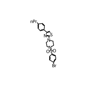 CCCc1ccc(-c2csc(N3CCN(S(=O)(=O)c4ccc(Br)cc4)CC3)n2)cc1